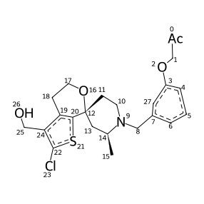 CC(=O)COc1cccc(CN2CC[C@]3(C[C@@H]2C)OCCc2c3sc(Cl)c2CO)c1